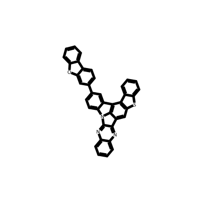 c1ccc2nc3c(nc2c1)c1cc2sc4ccccc4c2c2c4cc(-c5ccc6c(c5)oc5ccccc56)ccc4n3c12